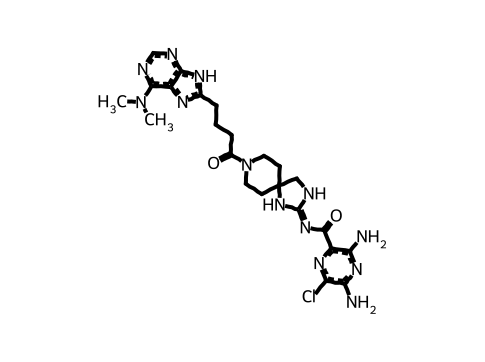 CN(C)c1ncnc2[nH]c(CCCC(=O)N3CCC4(CC3)CN/C(=N\C(=O)c3nc(Cl)c(N)nc3N)N4)nc12